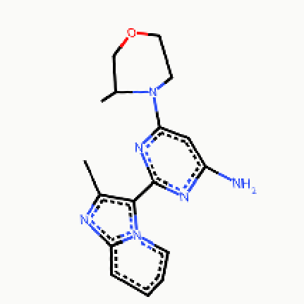 Cc1nc2ccccn2c1-c1nc(N)cc(N2CCOCC2C)n1